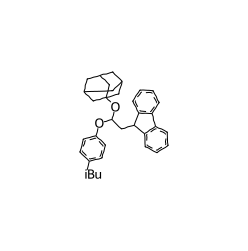 CCC(C)c1ccc(OC(CC2c3ccccc3-c3ccccc32)OC23CC4CC(CC(C4)C2)C3)cc1